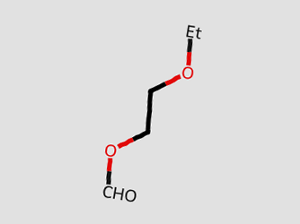 CCOCCOC=O